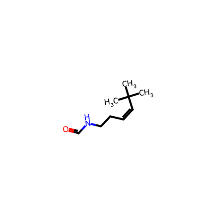 CC(C)(C)/C=C\CCN[C]=O